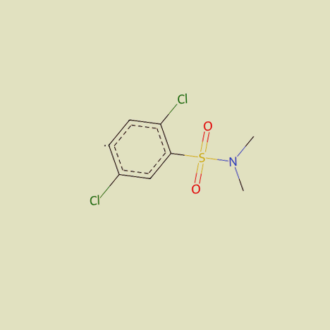 CN(C)S(=O)(=O)c1cc(Cl)[c]cc1Cl